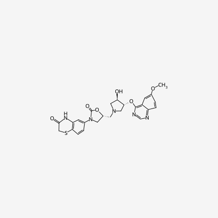 COc1ccc2ncnc(O[C@@H]3CN(C[C@@H]4CN(c5ccc6c(c5)NC(=O)CS6)C(=O)O4)C[C@H]3O)c2c1